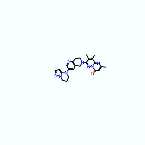 Cc1cc(=O)n2nc(N3CCc4ncc(N5CCCn6nccc65)cc4C3)c(C)c(C)c2n1